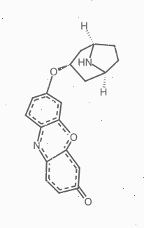 O=c1ccc2nc3ccc(O[C@H]4C[C@H]5CC[C@@H](C4)N5)cc3oc-2c1